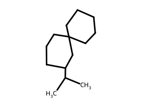 CC(C)C1CCCC2(CCCCC2)C1